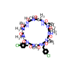 CC[C@H](C)[C@@H]1NC(=O)[C@H](C)N(C)C(=O)C[C@@H](C)NC(=O)[C@H](CC(C)C)N(C)C(=O)C(C)(C)NC(=O)[C@H](CC(C)C)N(C)C(=O)[C@H](CCc2ccc(Cl)cc2)NC(=O)CN(C)C(=O)[C@H](Cc2ccc(Cl)cc2)N(C)C(=O)CN(C)C(=O)CN(C)C1=O